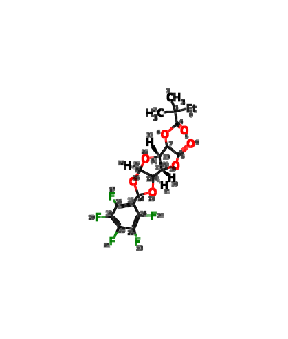 CCC(C)(C)C(=O)OC1C(=O)O[C@@H]2[C@H]3OC(c4c(F)c(F)c(F)c(F)c4F)O[C@H]3O[C@H]12